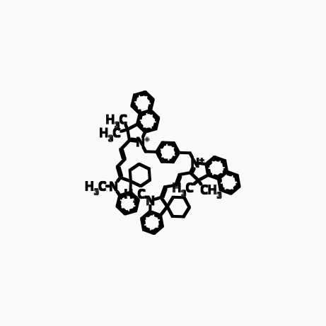 CN1/C(=C/C=C/C2=[N+](Cc3ccc(C[N+]4=C(/C=C/C=C5/N(C)c6ccccc6C56CCCCC6)C(C)(C)c5c4ccc4ccccc54)cc3)c3ccc4ccccc4c3C2(C)C)C2(CCCCC2)c2ccccc21